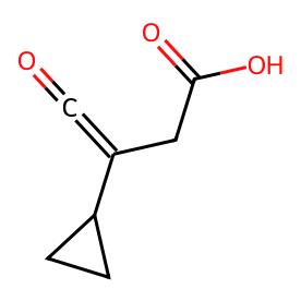 O=C=C(CC(=O)O)C1CC1